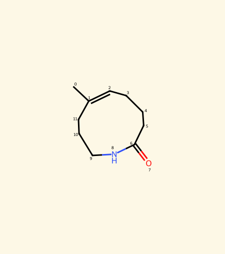 C/C1=C/CCCC(=O)NCCC1